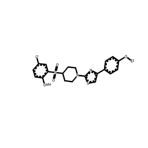 CCOc1ccc(-c2csc(N3CCC(S(=O)(=O)c4cc(Cl)ccc4OC)CC3)n2)cc1